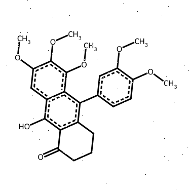 COc1ccc(-c2c3c(c(O)c4cc(OC)c(OC)c(OC)c24)C(=O)CCC3)cc1OC